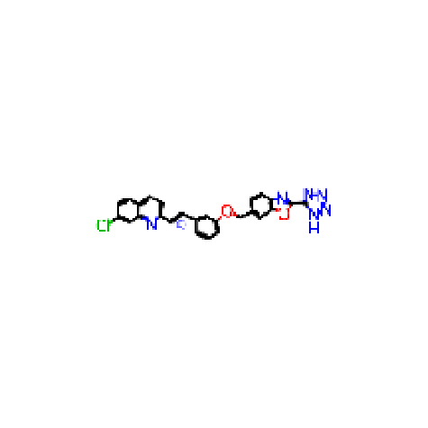 Clc1ccc2ccc(/C=C/c3cccc(OCc4ccc5nc(-c6nnn[nH]6)oc5c4)c3)nc2c1